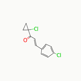 O=C(C=Cc1ccc(Cl)cc1)C1(Cl)CC1